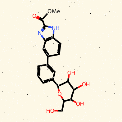 COC(=O)c1nc2cc(-c3cccc(C4OC(CO)C(O)C(O)C4O)c3)ccc2[nH]1